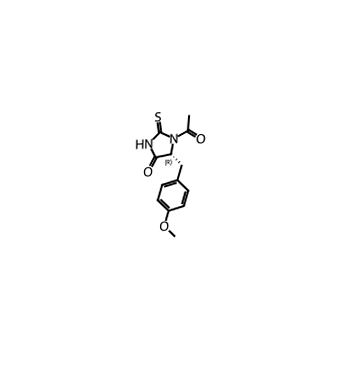 COc1ccc(C[C@@H]2C(=O)NC(=S)N2C(C)=O)cc1